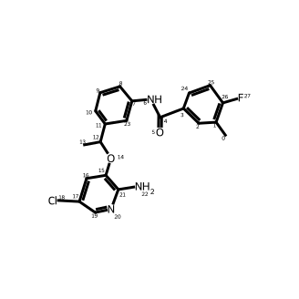 Cc1cc(C(=O)Nc2cccc(C(C)Oc3cc(Cl)cnc3N)c2)ccc1F